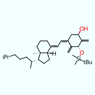 C=C1/C(=C\C=C2/CCC[C@]3(C)[C@@H](C(C)CCCC(C)C)CC[C@@H]23)C[C@@H](O)C(=C)[C@@H]1O[Si](C)(C)C(C)(C)C